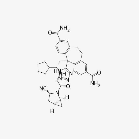 N#C[C@@H]1C[C@@H]2C[C@@H]2N1C(=O)CN[C@@H](CC1(c2nnn[nH]2)c2ccc(C(N)=O)cc2CCc2cc(C(N)=O)ccc21)C1CCCC1